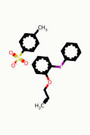 C=CCOc1ccccc1[I+]c1ccccc1.Cc1ccc(S(=O)(=O)[O-])cc1